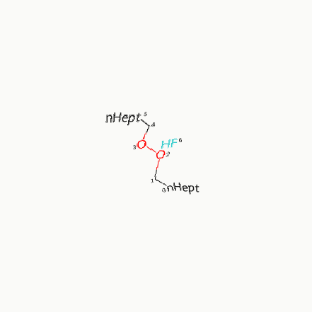 CCCCCCCCOOCCCCCCCC.F